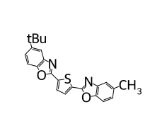 Cc1ccc2oc(-c3ccc(-c4nc5cc(C(C)(C)C)ccc5o4)s3)nc2c1